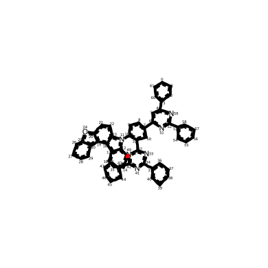 c1ccc(-c2cc(-c3ccc(-n4c5ccccc5c5c6c(ccc54)oc4ccccc46)c(-c4nc(-c5ccccc5)nc(-c5ccccc5)n4)c3)nc(-c3ccccc3)n2)cc1